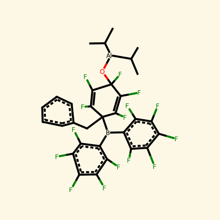 C[CH](C)[Al]([O]C1(F)C(F)=C(F)C(Cc2ccccc2)(B(c2c(F)c(F)c(F)c(F)c2F)c2c(F)c(F)c(F)c(F)c2F)C(F)=C1F)[CH](C)C